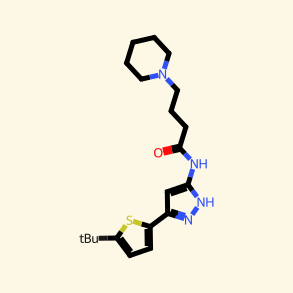 CC(C)(C)c1ccc(-c2cc(NC(=O)CCCN3CCCCC3)[nH]n2)s1